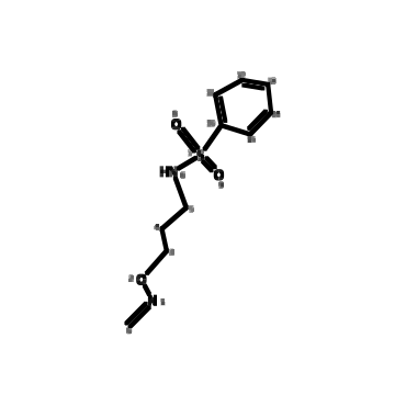 C=NOCCCNS(=O)(=O)c1ccccc1